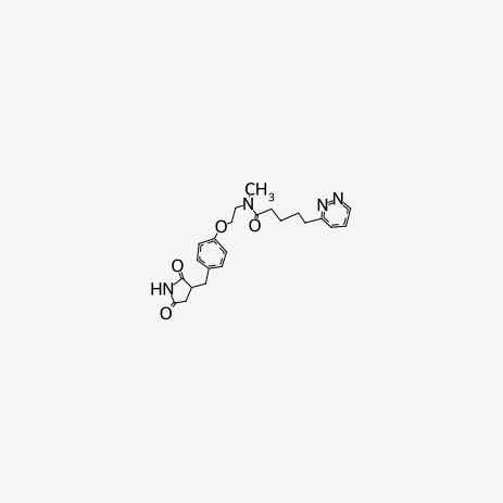 CN(CCOc1ccc(CC2CC(=O)NC2=O)cc1)C(=O)CCCCc1cccnn1